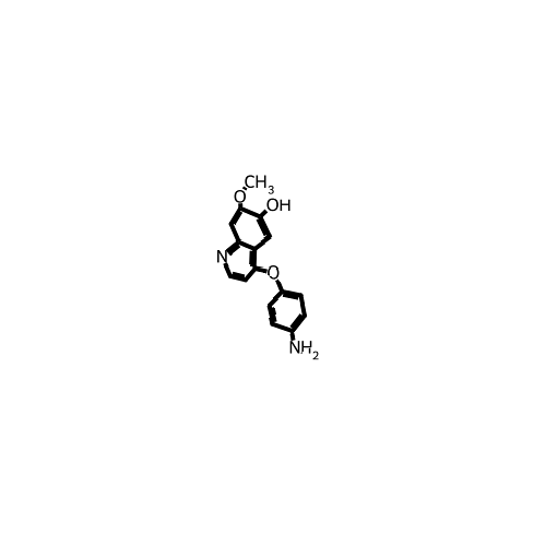 COc1cc2nccc(Oc3ccc(N)cc3)c2cc1O